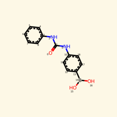 O=C(Nc1ccccc1)Nc1ccc(B(O)O)cc1